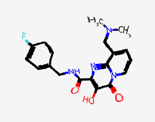 CN(C)Cc1cccn2c(=O)c(O)c(C(=O)NCc3ccc(F)cc3)nc12